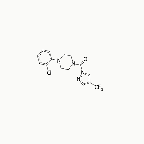 O=C(N1CCN(c2ccccc2Cl)CC1)n1cc(C(F)(F)F)cn1